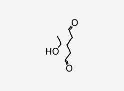 CCO.O=CCCCC=O